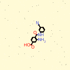 N#Cc1cccc(NC(=O)c2ccc(C(=O)O)cc2N)c1